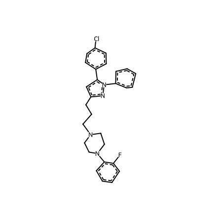 Fc1ccccc1N1CCN(CCCc2cc(-c3ccc(Cl)cc3)n(-c3ccccc3)n2)CC1